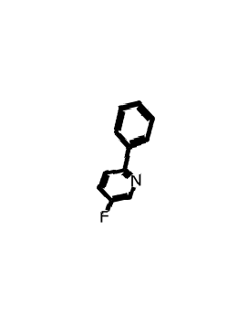 Fc1ccc(-c2ccccc2)nc1